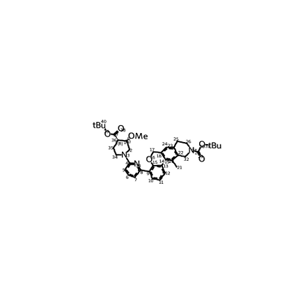 CO[C@@H]1CN(c2cccc(-c3cccc(C)c3OCc3cc(C)c4c(c3)CCN(C(=O)OC(C)(C)C)C4)n2)CC[C@H]1C(=O)OC(C)(C)C